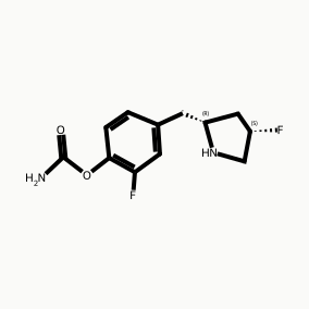 NC(=O)Oc1ccc([CH][C@@H]2C[C@H](F)CN2)cc1F